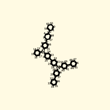 C1=CC(C2=CCC(c3ccc(N(c4ccccc4)c4ccc(-c5ccc(N(c6ccc(-c7ccccc7)cc6)c6ccc(-c7ccccc7)cc6)cc5)cc4)cc3)C=C2)=CCC1